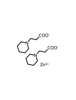 O=C([O-])CCN1CCCCC1.O=C([O-])CCN1CCCCC1.[Zn+2]